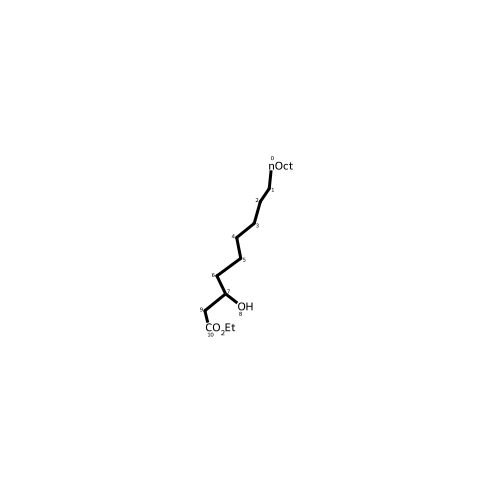 CCCCCCCCCCCCCCC(O)CC(=O)OCC